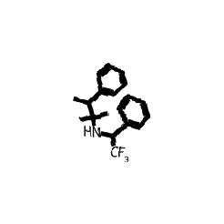 CC(c1ccccc1)C(C)(C)NC(c1ccccc1)C(F)(F)F